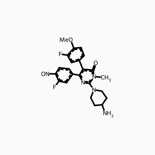 COc1ccc(-c2c(-c3ccc(N=O)c(F)c3)nc(N3CCC(N)CC3)n(C)c2=O)cc1F